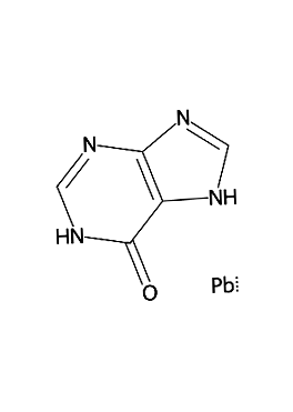 O=c1[nH]cnc2nc[nH]c12.[Pb]